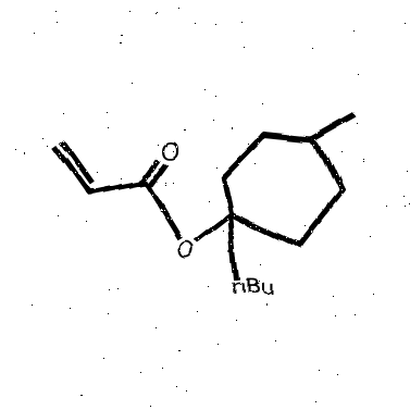 C=CC(=O)OC1(CCCC)CCC(C)CC1